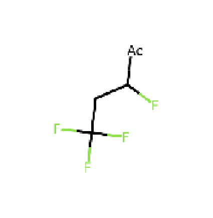 CC(=O)C(F)CC(F)(F)F